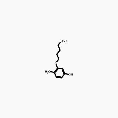 CCCCCCCCCCCCOc1cc(O)ccc1C